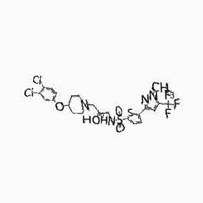 Cn1nc(-c2ccc(S(=O)(=O)NC[C@H](O)CN3CCC(Oc4ccc(Cl)c(Cl)c4)CC3)s2)cc1C(F)(F)F